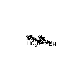 CC(O)CCC(C)(C)C/C=C(/OC1CCCCO1)[C@@H]1CC[C@@H]([C@H](CCC=CCCOC2CCCCO2)C(=O)O)C1